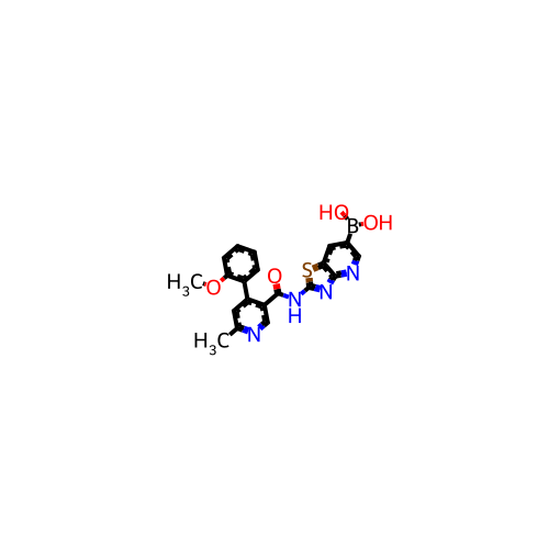 COc1ccccc1-c1cc(C)ncc1C(=O)Nc1nc2ncc(B(O)O)cc2s1